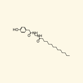 CCCCCCCCCCCCCC(=O)NCNC(=O)Cc1ccc(O)cc1